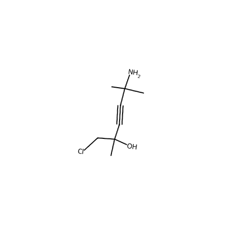 CC(C)(N)C#CC(C)(O)CCl